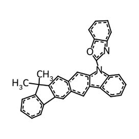 CC1(C)c2ccccc2-c2cc3cc4c5ccccc5n(-c5nc6ccccc6o5)c4cc3cc21